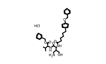 CC(C)C(NC(=O)C(NC(=O)CCCCCc1ccc(OCc2ccccc2)cc1)C(CN)CO)C(=O)OCc1ccccc1.Cl